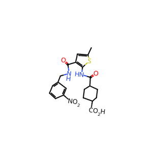 Cc1cc(C(=O)NCc2cccc([N+](=O)[O-])c2)c(NC(=O)C2CCC(C(=O)O)CC2)s1